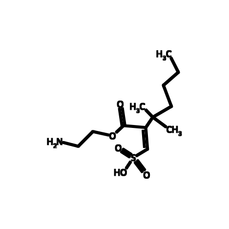 CCCCC(C)(C)C(=CS(=O)(=O)O)C(=O)OCCN